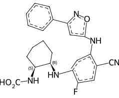 N#Cc1cc(F)c(N[C@@H]2CCCC[C@@H]2NC(=O)O)cc1Nc1cc(-c2ccccc2)no1